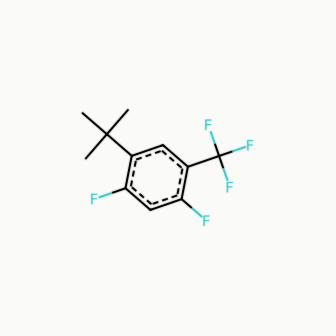 CC(C)(C)c1cc(C(F)(F)F)c(F)cc1F